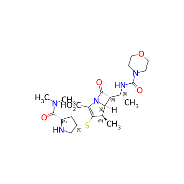 C[C@@H](NC(=O)N1CCOCC1)[C@H]1C(=O)N2C(C(=O)O)=C(S[C@@H]3CN[C@H](C(=O)N(C)C)C3)[C@H](C)[C@H]12